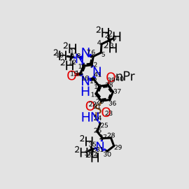 [2H]C([2H])([2H])CCc1nn(C([2H])([2H])[2H])c2c(=O)[nH]c(-c3cc(S(=O)(=O)NCCC4CCCN4C([2H])([2H])[2H])ccc3OCCC)nc12